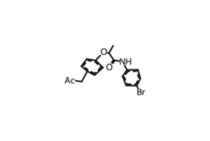 CC(=O)Cc1ccc(OC(C)C(=O)Nc2ccc(Br)cc2)cc1